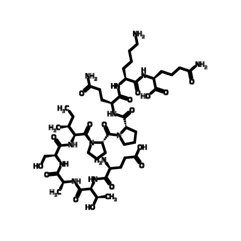 CC[C@H](C)[C@H](NC(=O)[C@H](CO)NC(=O)[C@H](C)NC(=O)[C@@H](NC(=O)[C@@H](N)CCC(=O)O)[C@@H](C)O)C(=O)N1CCC[C@H]1C(=O)N1CCC[C@H]1C(=O)N[C@@H](CCC(N)=O)C(=O)N[C@@H](CCCCN)C(=O)N[C@@H](CCCC(N)=O)C(=O)O